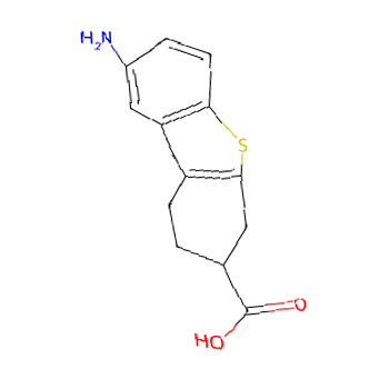 Nc1ccc2sc3c(c2c1)CCC(C(=O)O)C3